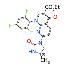 CCOC(=O)c1cn(-c2c(F)cc(F)cc2F)c2nc(N3C[C@@H](C)NC3=O)ccc2c1=O